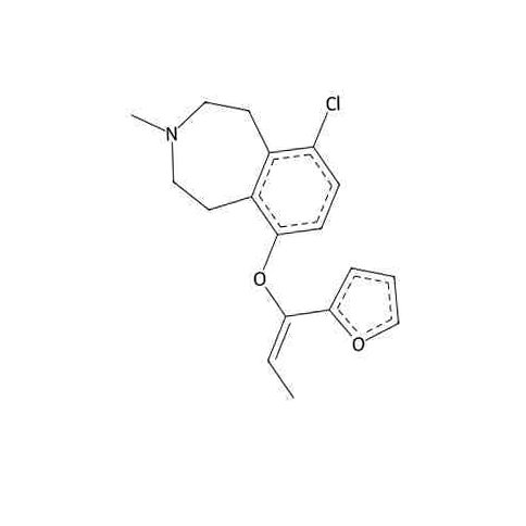 CC=C(Oc1ccc(Cl)c2c1CCN(C)CC2)c1ccco1